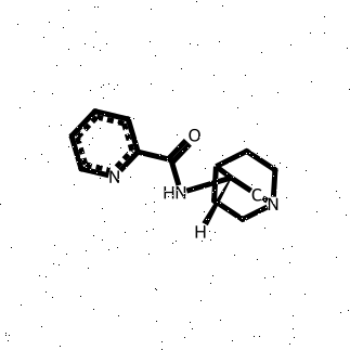 O=C(N[C@H]1CN2CCC1CC2)c1ccccn1